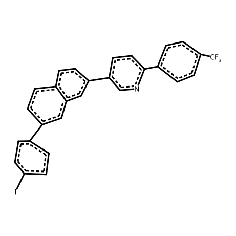 FC(F)(F)c1ccc(-c2ccc(-c3ccc4ccc(-c5ccc(I)cc5)cc4c3)cn2)cc1